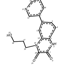 O=c1[nH]c2ccc(-c3cccnc3)cc2n(CCCO)c1=O